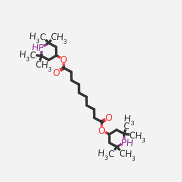 CC1(C)CC(OC(=O)CCCCCCCCC(=O)OC2CC(C)(C)PC(C)(C)C2)CC(C)(C)P1